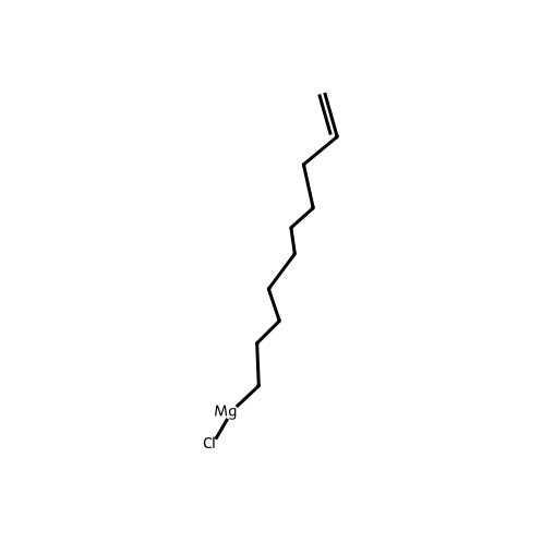 C=CCCCCCCC[CH2][Mg][Cl]